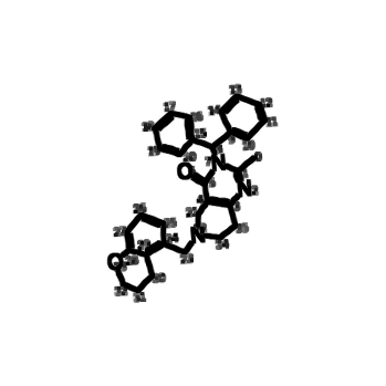 Cc1nc2c(c(=O)n1C(c1ccccc1)c1ccccc1)CN(Cc1cccc3c1CCCO3)CC2